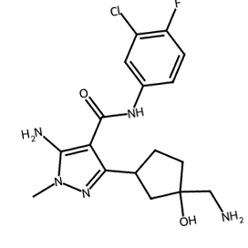 Cn1nc(C2CCC(O)(CN)C2)c(C(=O)Nc2ccc(F)c(Cl)c2)c1N